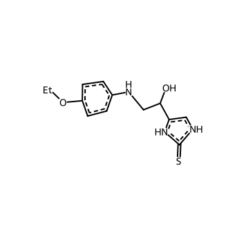 CCOc1ccc(NCC(O)c2c[nH]c(=S)[nH]2)cc1